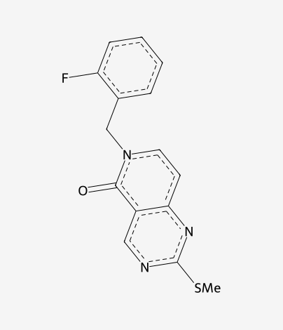 CSc1ncc2c(=O)n(Cc3ccccc3F)ccc2n1